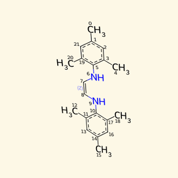 Cc1cc(C)c(N/C=C\Nc2c(C)cc(C)cc2C)c(C)c1